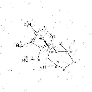 Cc1c([N+](=O)[O-])ccc(N2[C@@H]3CC[C@H]2C[C@@H](O)C3)c1CO